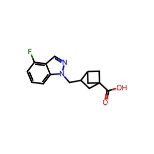 O=C(O)C12CC(Cn3ncc4c(F)cccc43)C(C1)C2